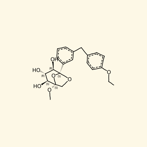 CCOc1ccc(Cc2cccc([C@]34OC[C@](OC)(O3)[C@@H](O)[C@H](O)[C@H]4O)c2)cc1